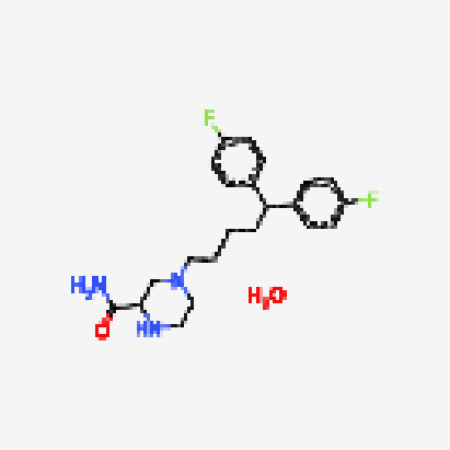 NC(=O)C1CN(/C=C/CCC(c2ccc(F)cc2)c2ccc(F)cc2)CCN1.O